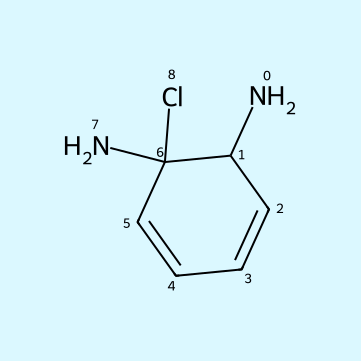 NC1C=CC=CC1(N)Cl